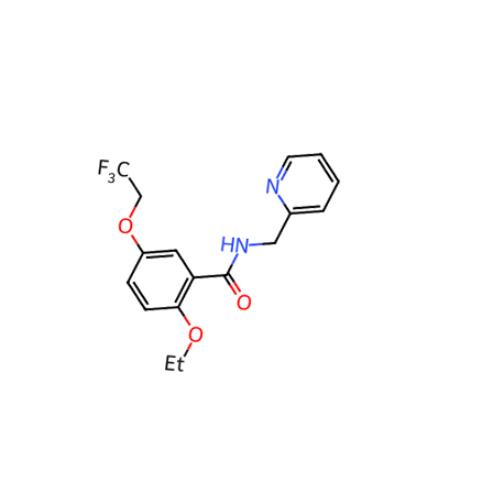 CCOc1ccc(OCC(F)(F)F)cc1C(=O)NCc1ccccn1